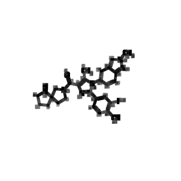 Cc1c(C(=O)N2CCC3(CCCN3)C2)nc(-c2ccc(C#N)c(F)c2)n1-c1ccc2nn(C)cc2c1